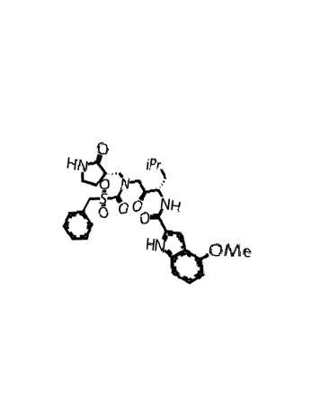 COc1cccc2[nH]c(C(=O)N[C@@H](CC(C)C)C(=O)CN(C[C@@H]3CCNC3=O)C(=O)S(=O)(=O)Cc3ccccc3)cc12